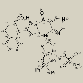 CC(C)[Si](O[C@H]1C[C@H](Nc2ncncc2C(=O)c2cc([C@@H]3c4ccccc4CCN3C(=O)O)cs2)C[C@@H]1COS(N)(=O)=O)(C(C)C)C(C)C